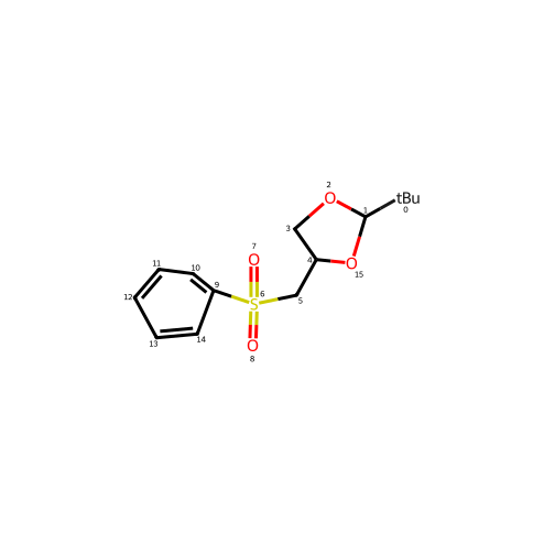 CC(C)(C)C1OCC(CS(=O)(=O)c2ccccc2)O1